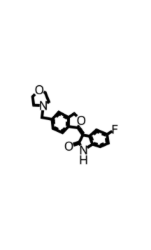 O=C1Nc2ccc(F)cc2C1=C1OCc2cc(CN3CCOCC3)ccc21